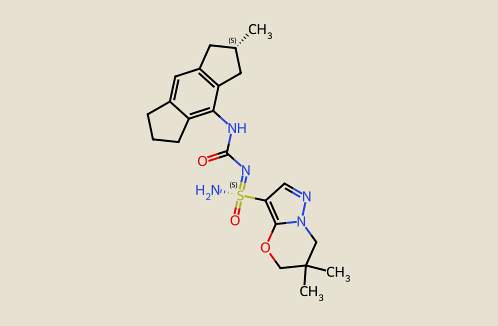 C[C@H]1Cc2cc3c(c(NC(=O)N=[S@](N)(=O)c4cnn5c4OCC(C)(C)C5)c2C1)CCC3